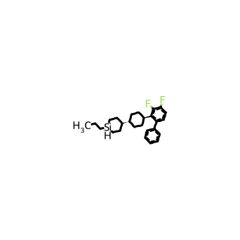 CCC[SiH]1CCC([C@H]2CC[C@H](c3c(-c4ccccc4)ccc(F)c3F)CC2)CC1